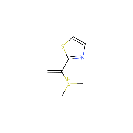 C=C(c1nccs1)[SH](C)C